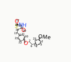 COc1cccc(CCOC2=CCC(CC3SC(=O)NC3=O)C=C2)c1